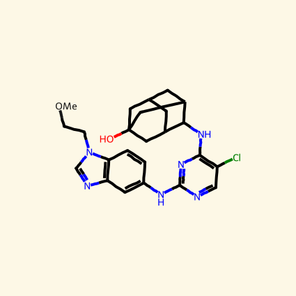 COCCn1cnc2cc(Nc3ncc(Cl)c(NC4C5CC6CC4CC(O)(C6)C5)n3)ccc21